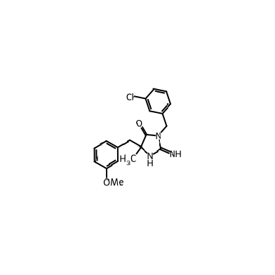 COc1cccc(CC2(C)NC(=N)N(Cc3cccc(Cl)c3)C2=O)c1